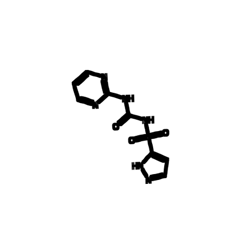 O=C(Nc1ncccn1)NS(=O)(=O)c1ccn[nH]1